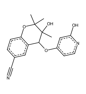 CC1(C)Oc2ccc(C#N)cc2C(Oc2ccnc(O)c2)C1(C)O